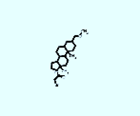 COCC1CCC2(C)C(CCC3C2CCC2(C)C3CC[C@@H]2C(=O)CBr)C1